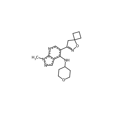 Cn1ncc2c(NC3CCOCC3)c(C3=NOC4(CCC4)C3)cnc21